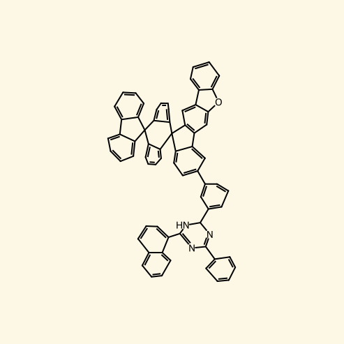 c1ccc(C2=NC(c3cccc(-c4ccc5c(c4)-c4cc6oc7ccccc7c6cc4C54c5ccccc5C5(c6ccccc6-c6ccccc65)c5ccccc54)c3)NC(c3cccc4ccccc34)=N2)cc1